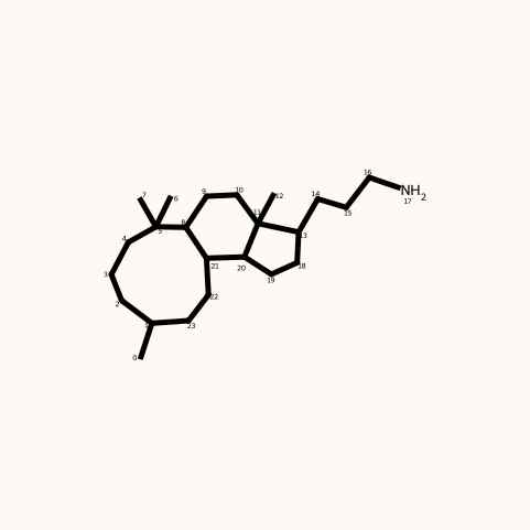 CC1CCCC(C)(C)C2CCC3(C)C(CCCN)CCC3C2CC1